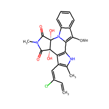 C=C/C(Cl)=C\c1c(C)[nH]c2c1[C@@]1(O)C(=O)N(C)C(=O)[C@@]1(O)n1c-2c(OC)c2ccccc21